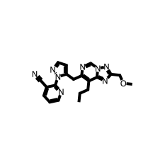 CCCc1c(Cc2ccnn2-c2ncccc2C#N)ncn2nc(COC)nc12